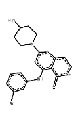 NC1CCN(c2nc(Nc3cccc(Br)c3)c3c(=O)[nH]ccc3n2)CC1